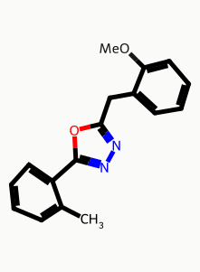 COc1ccccc1Cc1nnc(-c2ccccc2C)o1